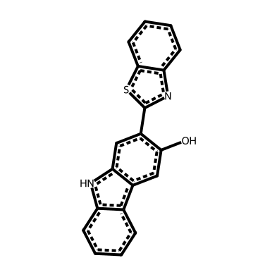 Oc1cc2c(cc1-c1nc3ccccc3s1)[nH]c1ccccc12